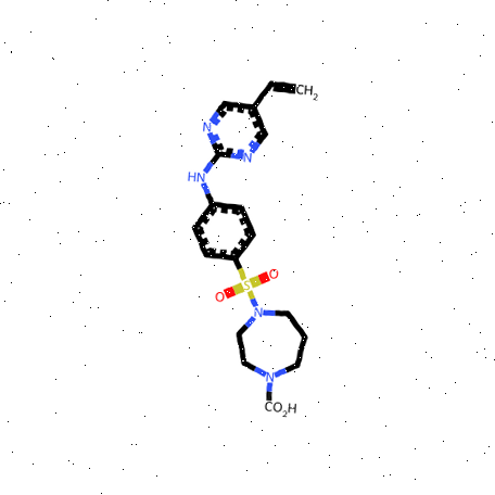 C=Cc1cnc(Nc2ccc(S(=O)(=O)N3CCCN(C(=O)O)CC3)cc2)nc1